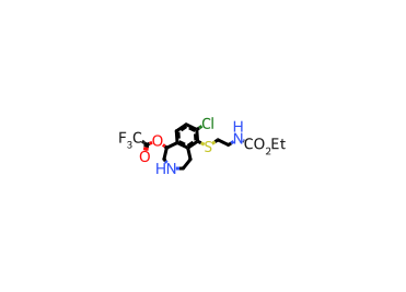 CCOC(=O)NCCSc1c(Cl)ccc2c1CCNCC2OC(=O)C(F)(F)F